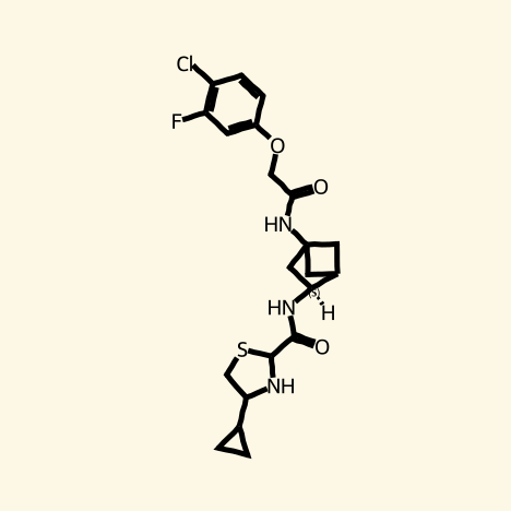 O=C(COc1ccc(Cl)c(F)c1)NC12CC(C1)[C@@H](NC(=O)C1NC(C3CC3)CS1)C2